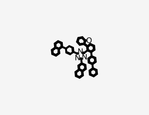 C1=CC(c2cccc3ccccc23)CC=C1c1nc(-c2ccc3ccccc3c2)nc(-c2c(-c3ccc(-c4ccccc4)cc3)ccc3oc4ccccc4c23)n1